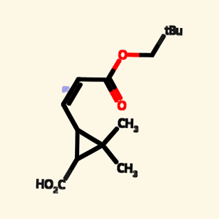 CC(C)(C)COC(=O)/C=C\C1C(C(=O)O)C1(C)C